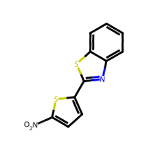 O=[N+]([O-])c1ccc(-c2nc3ccccc3s2)s1